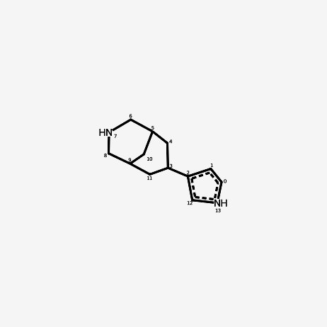 c1cc(C2CC3CNCC(C3)C2)c[nH]1